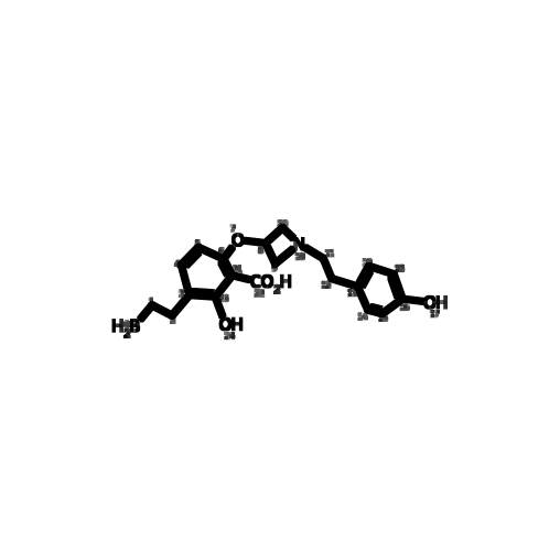 BCCc1ccc(OC2CN(CCc3ccc(O)cc3)C2)c(C(=O)O)c1O